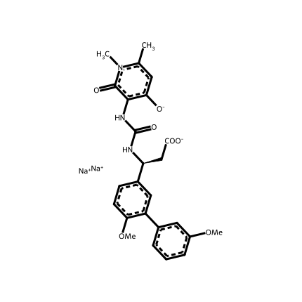 COc1cccc(-c2cc([C@H](CC(=O)[O-])NC(=O)Nc3c([O-])cc(C)n(C)c3=O)ccc2OC)c1.[Na+].[Na+]